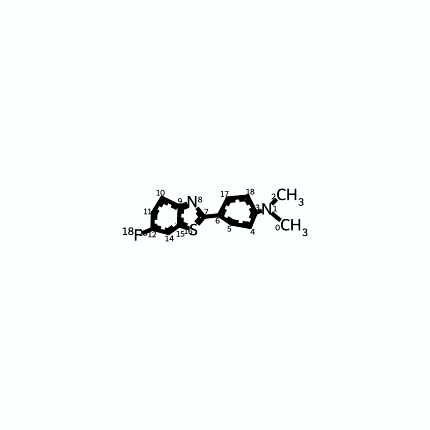 CN(C)c1ccc(-c2nc3ccc([18F])cc3s2)cc1